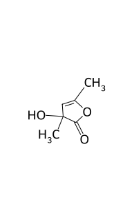 CC1=CC(C)(O)C(=O)O1